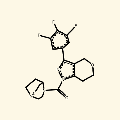 O=C(N1CCN2CCC1CC2)n1nc(-c2cc(F)c(F)c(F)c2)c2c1CCOC2